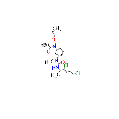 C=CCOCN(C(=O)CCCC)c1cccc(N(C)C(=O)NC(C)C(Cl)=CCCCl)c1